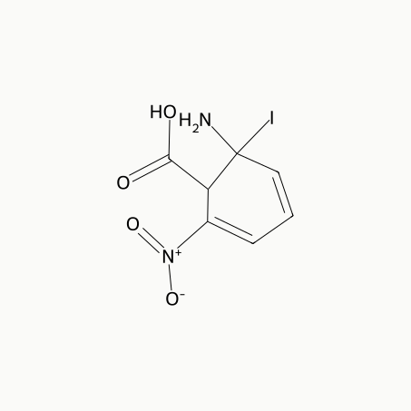 NC1(I)C=CC=C([N+](=O)[O-])C1C(=O)O